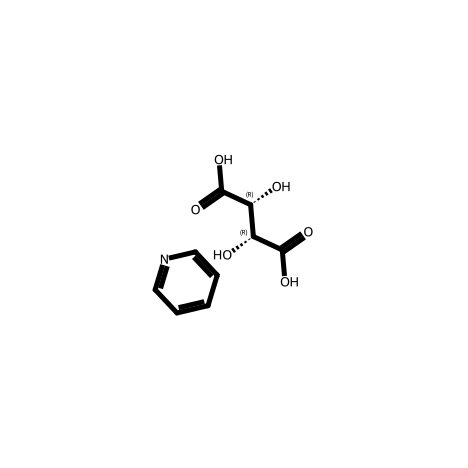 O=C(O)[C@H](O)[C@@H](O)C(=O)O.c1ccncc1